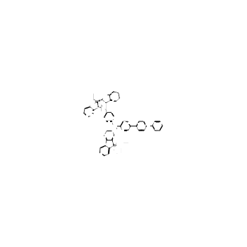 CC1(C)C2=CC(N(c3ccc(-c4ccc(-c5ccccc5)cc4)cc3)c3ccc(N4C5C6=CCCC=C6SC5[C@@H]5Oc6ccccc6C54)cc3)CC=C2c2ccccc21